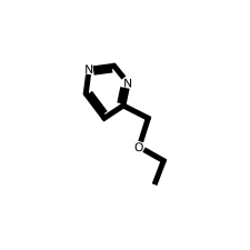 CCOCc1ccncn1